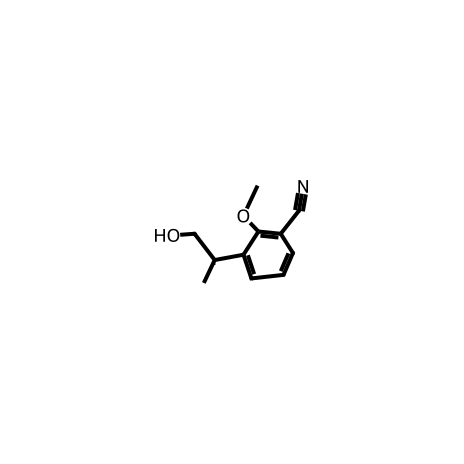 COc1c(C#N)cccc1[C](C)CO